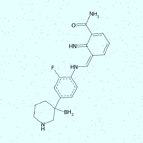 BC1(c2ccc(N/C=C3/C=CC=C(C(N)=O)C3=N)c(F)c2)CCCNC1